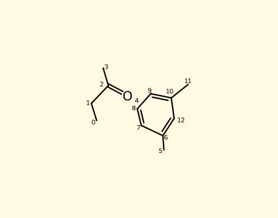 CCC(C)=O.Cc1cccc(C)c1